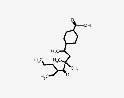 CCCC(CC)C(=O)C(C)(C)CC(C)C1CCC(C(=O)O)CC1